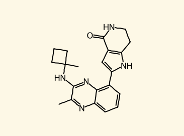 Cc1nc2cccc(-c3cc4c([nH]3)CCNC4=O)c2nc1NC1(C)CCC1